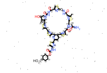 Cc1sc2nc1C(=O)NCc1nc(cs1)C(=O)NC(=O)N1C[C@H](O)[C@H](C)[C@H]1c1nc(cs1)-c1nc(cs1)-c1nc(-c3nc(NC(=O)O[C@H]4CC[C@H](C(=O)O)CC4)cs3)ccc1-c1nc(cs1)C(=O)N[C@H]2CC(N)=O